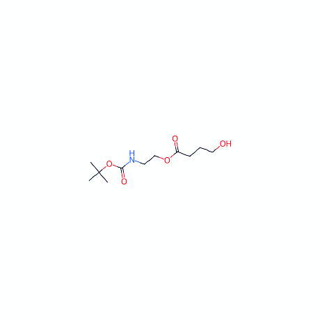 CC(C)(C)OC(=O)NCCOC(=O)CCCO